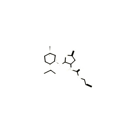 C=CCOC(=O)NC1CC(=O)OC1O[C@@H]1C[C@H](C)CC[C@H]1C(C)C